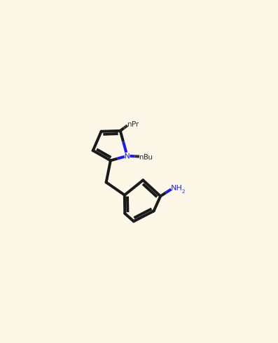 CCCCn1c(CCC)ccc1Cc1cccc(N)c1